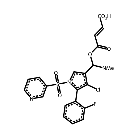 CNC(OC(=O)/C=C/C(=O)O)c1cn(S(=O)(=O)c2cccnc2)c(-c2ccccc2F)c1Cl